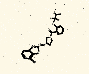 O=C(c1ccccc1OC(F)(F)C(F)F)N1CC[C@@H](CNc2nc3cccc(F)c3o2)C1